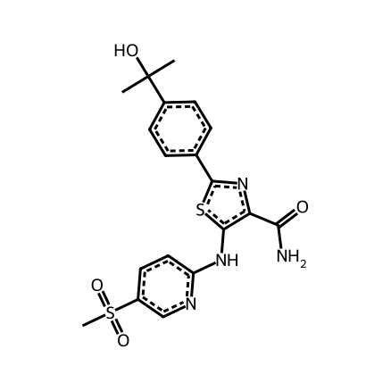 CC(C)(O)c1ccc(-c2nc(C(N)=O)c(Nc3ccc(S(C)(=O)=O)cn3)s2)cc1